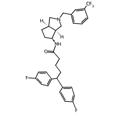 O=C(CCCC(c1ccc(F)cc1)c1ccc(F)cc1)N[C@H]1CC[C@H]2CN(Cc3cccc(C(F)(F)F)c3)C[C@H]21